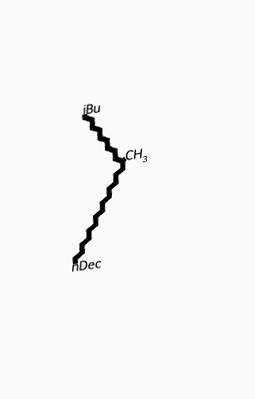 CCCCCCCCCCCCCCCCCCCCCCCCC(C)CCCCCCCCCC(C)CC